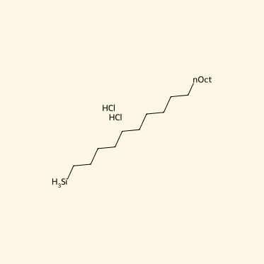 CCCCCCCCCCCCCCCCCC[SiH3].Cl.Cl